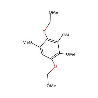 CCCCc1c(OC)c(OCOC)cc(OC)c1OCOC